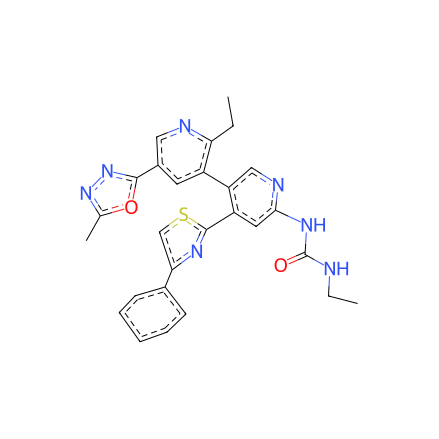 CCNC(=O)Nc1cc(-c2nc(-c3ccccc3)cs2)c(-c2cc(-c3nnc(C)o3)cnc2CC)cn1